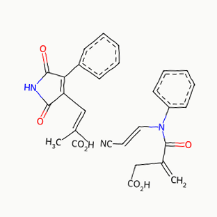 C=C(CC(=O)O)C(=O)N(C=CC#N)c1ccccc1.CC(=CC1=C(c2ccccc2)C(=O)NC1=O)C(=O)O